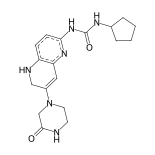 O=C1CN(C2=Cc3nc(NC(=O)NC4CCCC4)ccc3NC2)CCN1